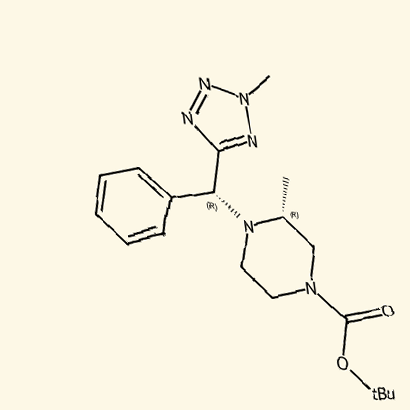 C[C@@H]1CN(C(=O)OC(C)(C)C)CCN1[C@H](c1ccccc1)c1nnn(C)n1